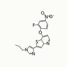 CCCn1cnc(C2=CC3N=CC=C(Oc4ccc([N+](=O)[O-])cc4F)C3S2)c1